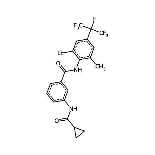 CCc1cc(C(F)(C(F)(F)F)C(F)(F)F)cc(C)c1NC(=O)c1cccc(NC(=O)C2CC2)c1